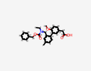 CCN(Cc1cc(C)ccc1-c1cc(CC(=O)O)ccc1OC)C(=O)OCc1ccccc1